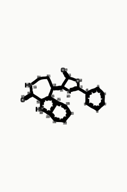 O=C1OC(c2ccccc2)=NC1=C1CCNC(=O)c2[nH]c3ccccc3c21